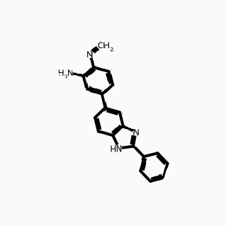 C=Nc1ccc(-c2ccc3[nH]c(-c4ccccc4)nc3c2)cc1N